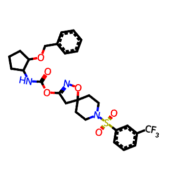 O=C(NC1CCCC1OCc1ccccc1)OC1=NOC2(CCN(S(=O)(=O)c3cccc(C(F)(F)F)c3)CC2)C1